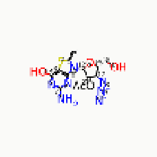 C=C1Sc2c(O)nc(N)nc2N1[C@@H]1O[C@H](CO)[C@@H](N=[N+]=[N-])[C@H]1OC(C)=O